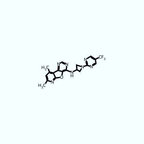 Cc1cc(C)c2c(n1)oc1c(NC3CN(c4ncc(C(F)(F)F)cn4)C3)ncnc12